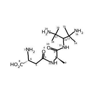 C[C@@H](NC(=O)C[C@@H](N)C(=O)O)C(=O)NC(C(C)(C)N)C(C)(C)N